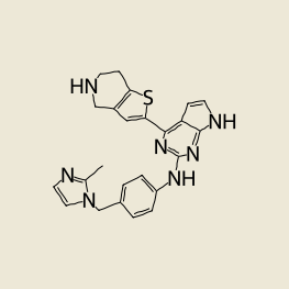 Cc1nccn1Cc1ccc(Nc2nc(-c3cc4c(s3)CCNC4)c3cc[nH]c3n2)cc1